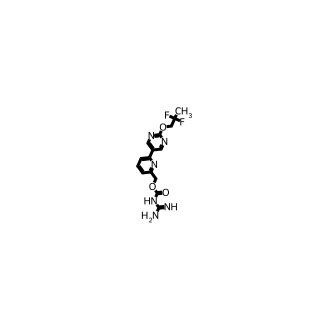 CC(F)(F)COc1ncc(-c2cccc(COC(=O)NC(=N)N)n2)cn1